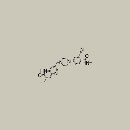 CCc1cc2ncc(CN3CCN(c4ccc(C(=O)NC)c(C#N)c4)CC3)cc2[nH]c1=O